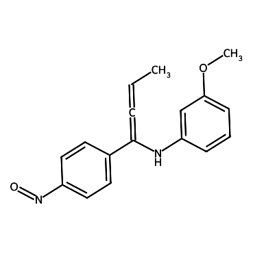 CC=C=C(Nc1cccc(OC)c1)c1ccc(N=O)cc1